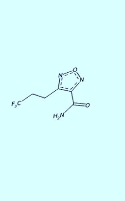 NC(=O)c1nonc1CCC(F)(F)F